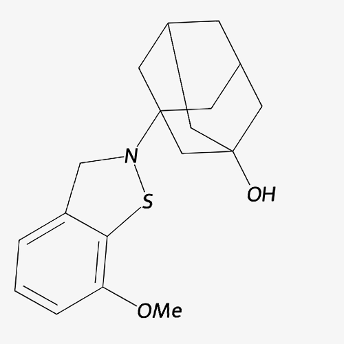 COc1cccc2c1SN(C13CC4CC(CC(O)(C4)C1)C3)C2